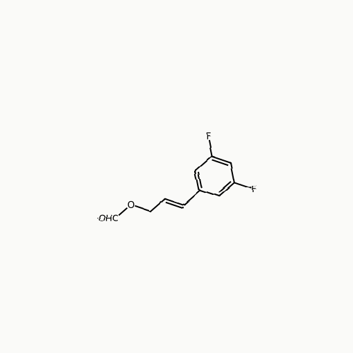 O=[C]OCC=Cc1cc(F)cc(F)c1